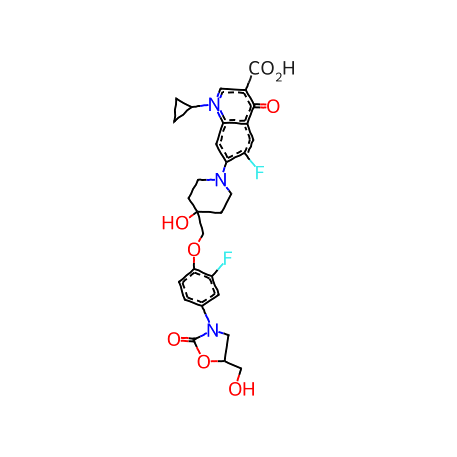 O=C(O)c1cn(C2CC2)c2cc(N3CCC(O)(COc4ccc(N5CC(CO)OC5=O)cc4F)CC3)c(F)cc2c1=O